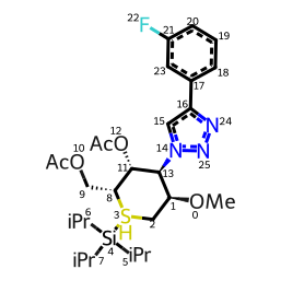 CO[C@H]1C[SH]([Si](C(C)C)(C(C)C)C(C)C)[C@H](COC(C)=O)[C@H](OC(C)=O)[C@H]1n1cc(-c2cccc(F)c2)nn1